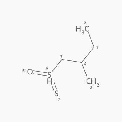 CCC(C)C[SH](=O)=S